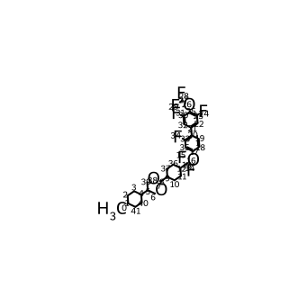 CC1CCC(C2COC(C3CCC(C(F)(F)Oc4ccc(-c5cc(F)c(OC(F)F)c(F)c5)c(F)c4)CC3)OC2)CC1